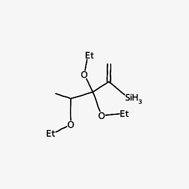 C=C([SiH3])C(OCC)(OCC)C(C)OCC